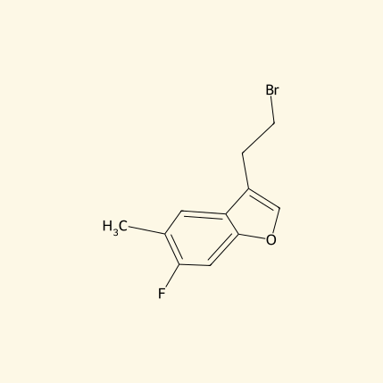 Cc1cc2c(CCBr)coc2cc1F